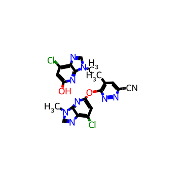 Cc1cc(C#N)nnc1Oc1cc(Cl)c2ncn(C)c2n1.Cn1cnc2c(Cl)cc(O)nc21